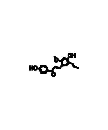 CCCc1cc(C=CC(=O)c2ccc(O)cc2)c(OC)cc1O